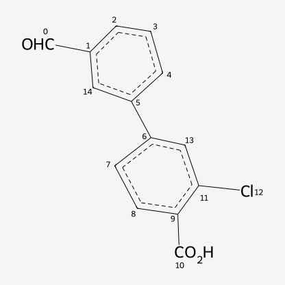 O=Cc1cccc(-c2ccc(C(=O)O)c(Cl)c2)c1